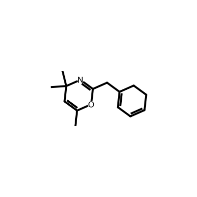 CC1=CC(C)(C)N=C(CC2=CC=CCC2)O1